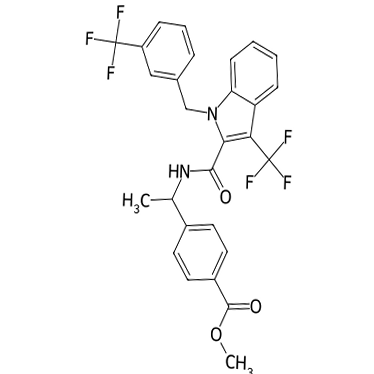 COC(=O)c1ccc(C(C)NC(=O)c2c(C(F)(F)F)c3ccccc3n2Cc2cccc(C(F)(F)F)c2)cc1